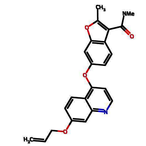 C=CCOc1ccc2c(Oc3ccc4c(C(=O)NC)c(C)oc4c3)ccnc2c1